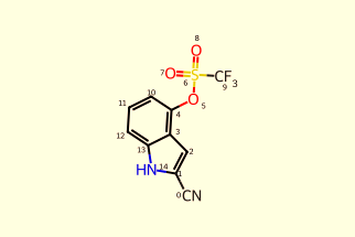 N#Cc1cc2c(OS(=O)(=O)C(F)(F)F)cccc2[nH]1